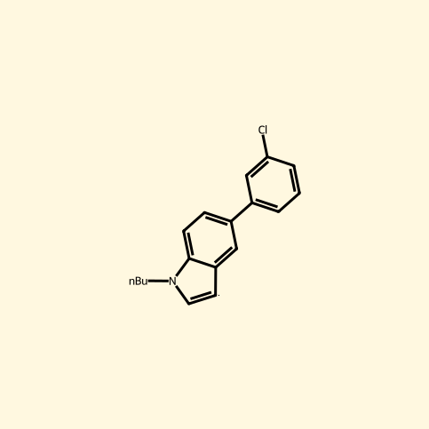 CCCCn1c[c]c2cc(-c3cccc(Cl)c3)ccc21